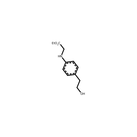 CCOC(=O)CNc1ccc(CCO)cc1